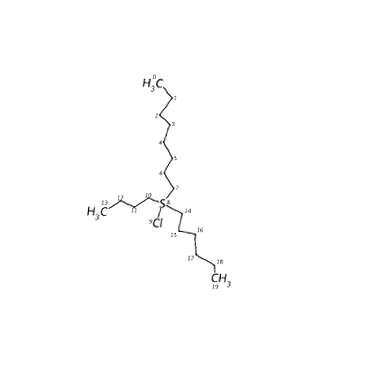 CCCCCCCCS(Cl)(CCCC)CCCCCC